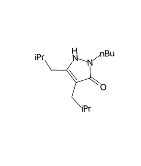 CCCCn1[nH]c(CC(C)C)c(CC(C)C)c1=O